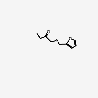 CCC(=O)CSCc1ccco1